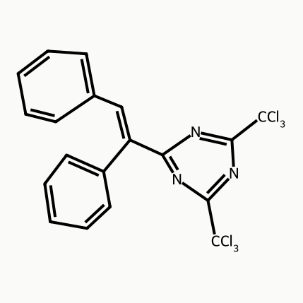 ClC(Cl)(Cl)c1nc(C(=Cc2ccccc2)c2ccccc2)nc(C(Cl)(Cl)Cl)n1